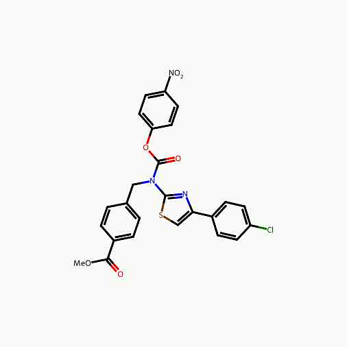 COC(=O)c1ccc(CN(C(=O)Oc2ccc([N+](=O)[O-])cc2)c2nc(-c3ccc(Cl)cc3)cs2)cc1